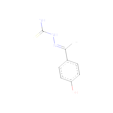 CC(=NNC(N)=S)c1ccc(O)cc1